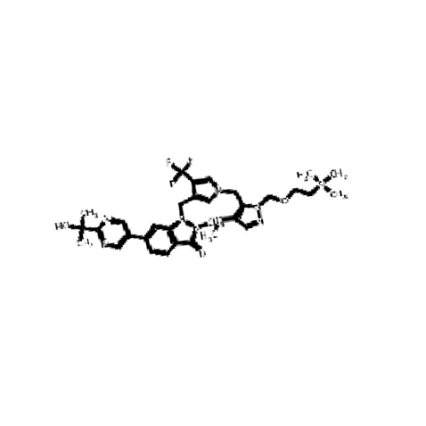 COc1cnn(COCC[Si](C)(C)C)c1Cn1cc(Cn2c3cc(-c4cnc(C(C)(C)O)nc4)ccc3c(=O)n2C)c(C(F)(F)F)c1